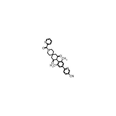 Cc1cc(-c2ccc(C#N)cn2)cc(C)c1C1C(=O)CC2(CCN(C(=O)c3ccccn3)CC2)CC1=O